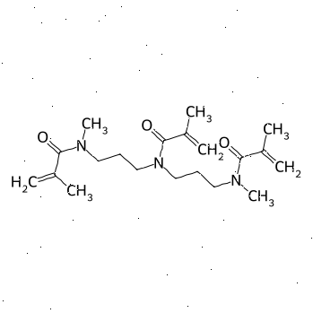 C=C(C)C(=O)N(C)CCCN(CCCN(C)C(=O)C(=C)C)C(=O)C(=C)C